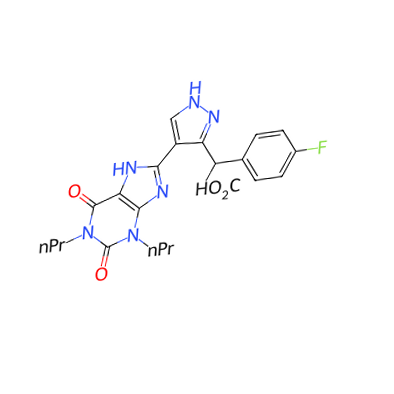 CCCn1c(=O)c2[nH]c(-c3c[nH]nc3C(C(=O)O)c3ccc(F)cc3)nc2n(CCC)c1=O